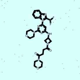 O=C(CCC(=O)N1CC(Nc2cc(-n3c(C(F)F)nc4ccccc43)nc(N3CCOCC3)n2)C1)N1CCOCC1